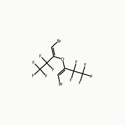 FC(F)(F)C(F)(F)C(=CBr)OC(=CBr)C(F)(F)C(F)(F)F